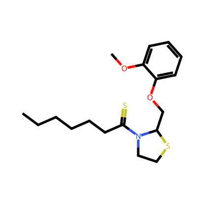 CCCCCCC(=S)N1CCSC1COc1ccccc1OC